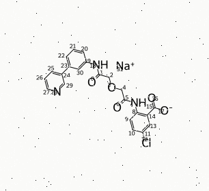 O=C(COCC(=O)Nc1ccc(Cl)cc1C(=O)[O-])Nc1cccc(-c2cccnc2)c1.[Na+]